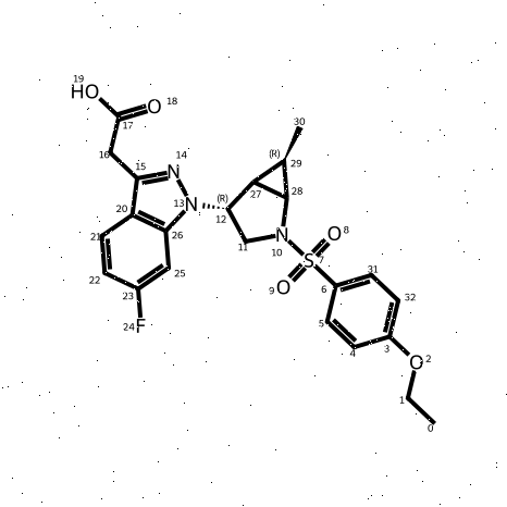 CCOc1ccc(S(=O)(=O)N2C[C@H](n3nc(CC(=O)O)c4ccc(F)cc43)C3C2[C@@H]3C)cc1